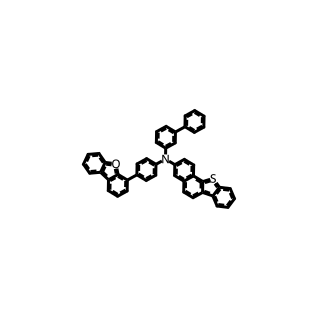 c1ccc(-c2cccc(N(c3ccc(-c4cccc5c4oc4ccccc45)cc3)c3ccc4c(ccc5c6ccccc6sc45)c3)c2)cc1